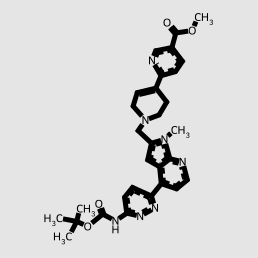 COC(=O)c1ccc(C2=CCN(Cc3cc4c(-c5ccc(NC(=O)OC(C)(C)C)nn5)ccnc4n3C)CC2)nc1